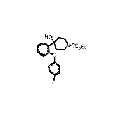 CCOC(=O)N1CCC(O)(c2ccccc2Oc2ccc(F)cc2)CC1